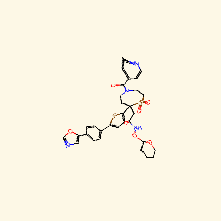 O=C(CC1(c2ccc(-c3ccc(-c4cnco4)cc3)s2)CCN(C(=O)c2ccncc2)CCS1(=O)=O)NOC1CCCCO1